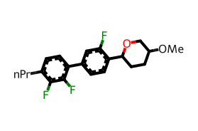 CCCc1ccc(-c2ccc(C3CCC(OC)CO3)c(F)c2)c(F)c1F